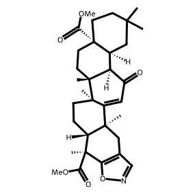 COC(=O)[C@]12CCC(C)(C)C[C@H]1[C@H]1C(=O)C=C3[C@@]4(C)Cc5cnoc5[C@@](C)(C(=O)OC)[C@@H]4CC[C@@]3(C)[C@]1(C)CC2